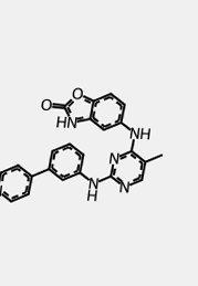 Cc1cnc(Nc2cccc(-c3ccncc3)c2)nc1Nc1ccc2oc(=O)[nH]c2c1